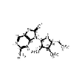 CC(=O)OC[C@H]1O[C@@H](n2c(=O)sc3cnc(N)nc32)C(OC(C)=O)[C@@H]1OC(C)=O